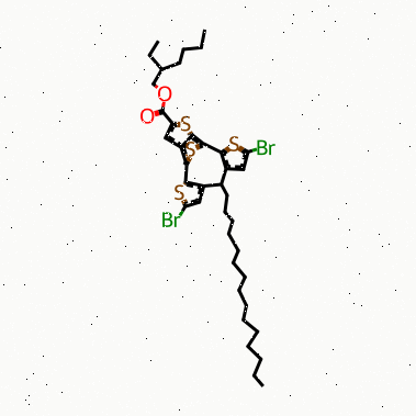 CCCCCCCCCCCCCCCC1c2cc(Br)sc2-c2sc(c3sc(C(=O)OCC(CC)CCCC)cc23)-c2sc(Br)cc21